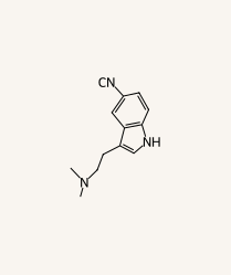 [C-]#[N+]c1ccc2[nH]cc(CCN(C)C)c2c1